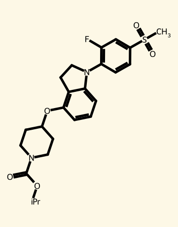 CC(C)OC(=O)N1CCC(Oc2cccc3c2CCN3c2ccc(S(C)(=O)=O)cc2F)CC1